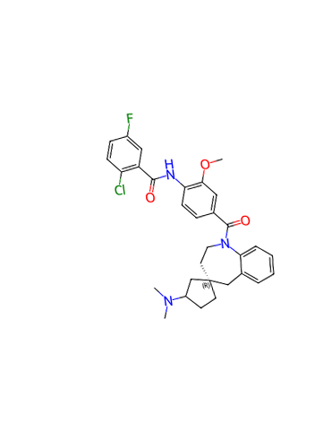 COc1cc(C(=O)N2CC[C@@]3(CCC(N(C)C)C3)Cc3ccccc32)ccc1NC(=O)c1cc(F)ccc1Cl